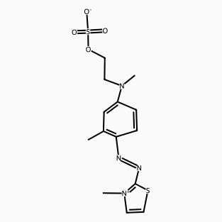 Cc1cc(N(C)CCOS(=O)(=O)[O-])ccc1N=Nc1scc[n+]1C